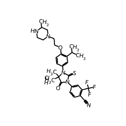 CC1CN(CCOc2ccc(N3C(=S)N(c4ccc(C#N)c(C(F)(F)F)c4)C(=O)C3(C)C)cc2C(C)C)CCN1.Cl